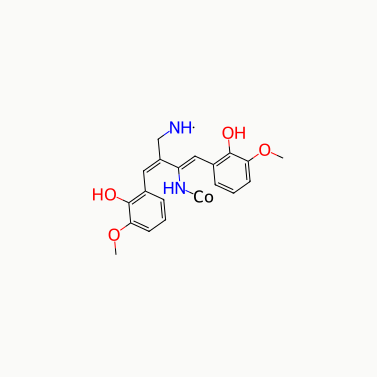 COc1cccc(C=C(C[NH])C(=Cc2cccc(OC)c2O)[NH][Co])c1O